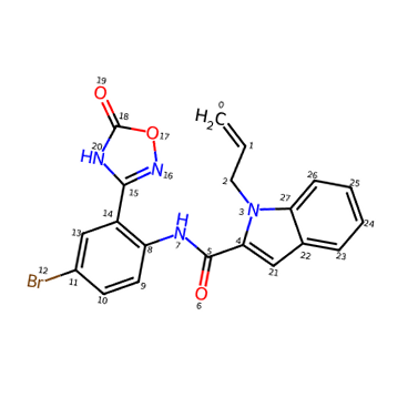 C=CCn1c(C(=O)Nc2ccc(Br)cc2-c2noc(=O)[nH]2)cc2ccccc21